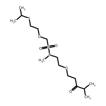 CC(C)SCCOCS(=O)(=O)N(C)CCOCCC(=O)C(C)C